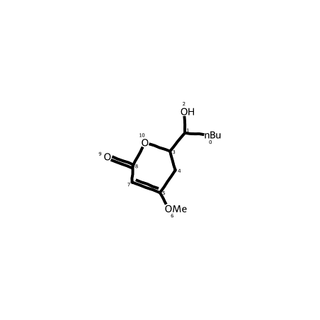 CCCCC(O)C1CC(OC)=CC(=O)O1